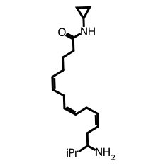 CC(C)C(N)C/C=C\C/C=C\C/C=C\CCCC(=O)NC1CC1